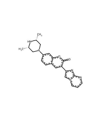 C[C@@H]1CN(c2ccc3cc(-c4cn5cccnc5n4)c(=O)oc3c2)C[C@H](C)N1